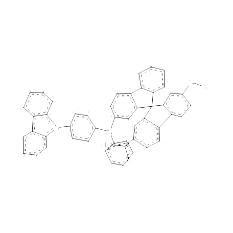 CCCCNc1ccc2c(c1)C1(c3ccccc3-c3ccc(N(c4ccccc4)c4ccc(-n5c6ccccc6c6ccccc65)cc4)cc31)c1cc(C(N)CCC)ccc1-2